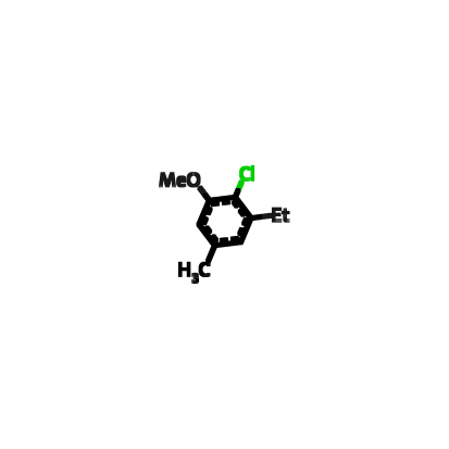 CCc1cc(C)cc(OC)c1Cl